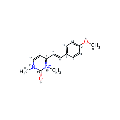 COc1ccc(C=Cc2ccn(C)c(=O)[n+]2C)cc1